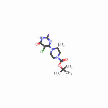 C[C@@H]1CN(C(=O)OC(C)(C)C)CCN1c1nc(I)[nH]c(=O)c1Cl